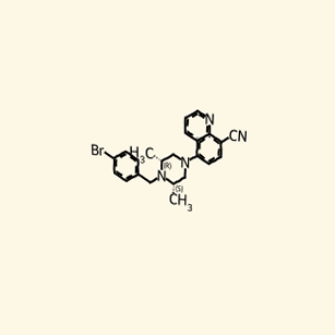 C[C@@H]1CN(c2ccc(C#N)c3ncccc23)C[C@H](C)N1Cc1ccc(Br)cc1